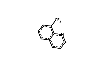 FC(F)(F)c1cccc2cc[c]nc12